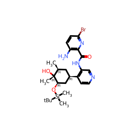 C[C@H]1C[C@@H](c2ccncc2NC(=O)c2nc(Br)ccc2N)C[C@@H](O[Si](C)(C)C(C)(C)C)[C@]1(C)O